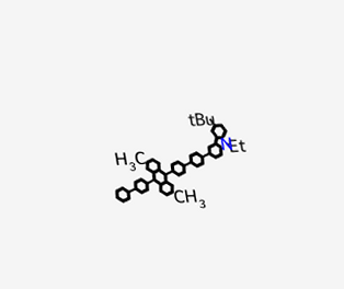 CCn1c2ccc(-c3ccc(-c4ccc(-c5c6ccc(C)cc6c(-c6ccc(-c7ccccc7)cc6)c6ccc(C)cc56)cc4)cc3)cc2c2cc(C(C)(C)C)ccc21